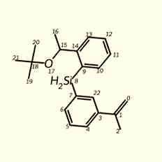 C=C(C)c1cccc([SiH2]c2ccccc2C(C)OC(C)(C)C)c1